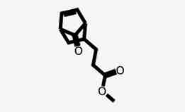 COC(=O)CCC1CC2C=CC1C2=O